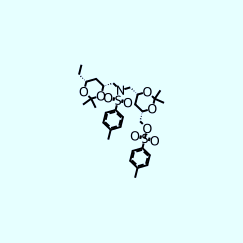 CC[C@@H]1C[C@H](CN(C[C@H]2C[C@@H](COS(=O)(=O)c3ccc(C)cc3)OC(C)(C)O2)S(=O)(=O)c2ccc(C)cc2)OC(C)(C)O1